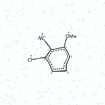 COc1cccc(Cl)c1C#N